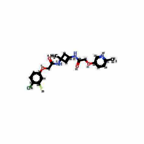 CC1(NC(=O)COc2ccc(Cl)c(F)c2)C=C(NC(=O)COc2ccc(C(F)(F)F)nc2)C1